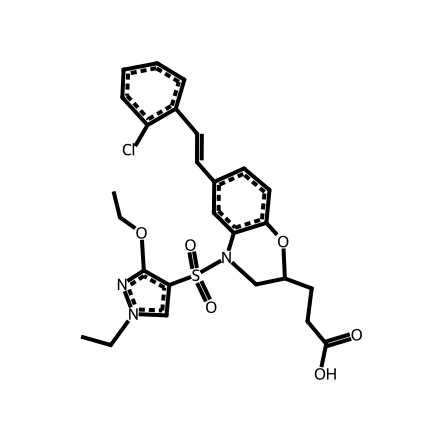 CCOc1nn(CC)cc1S(=O)(=O)N1CC(CCC(=O)O)Oc2ccc(C=Cc3ccccc3Cl)cc21